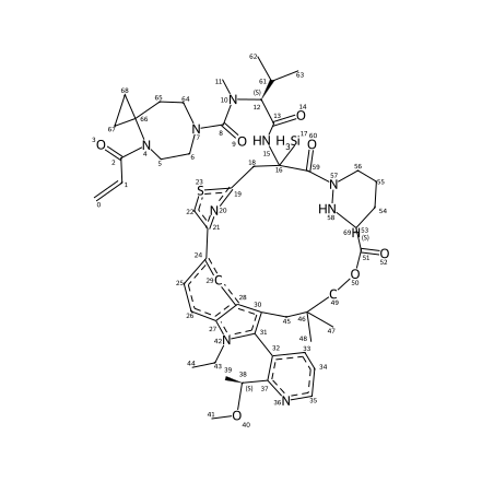 C=CC(=O)N1CCN(C(=O)N(C)[C@H](C(=O)NC2([SiH3])Cc3nc(cs3)-c3ccc4c(c3)c(c(-c3cccnc3[C@H](C)OC)n4CC)CC(C)(C)COC(=O)[C@@H]3CCCN(N3)C2=O)C(C)C)CCC12CC2